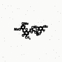 COc1ccc(Cn2c(=O)c(C)cn(C3CC(C)C(COP4(=O)OCc5c(F)c(C(C)(C)C)cc(C(C)(C)C)c5O4)O3)c2=O)c(OC)c1